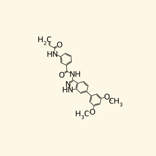 C=CC(=O)Nc1cccc(C(=O)Nc2n[nH]c3cc(-c4cc(OC)cc(OC)c4)ccc23)c1